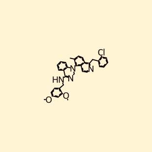 COc1ccc(CNC2=NCN(c3c(C)ccc4c(Cc5ccccc5Cl)nccc34)c3ccccc32)c(OC)c1